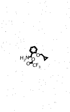 NC(OC(=O)C(F)(F)F)c1ccccc1OCC1CC1